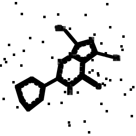 CCc1nc(C(C)(C)C)n2nc(-c3ccccc3)[nH]c(=O)c12